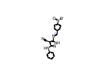 N#Cc1c(Nc2ccccc2)n[nH]c1/N=C/c1ccc([N+](=O)[O-])cc1